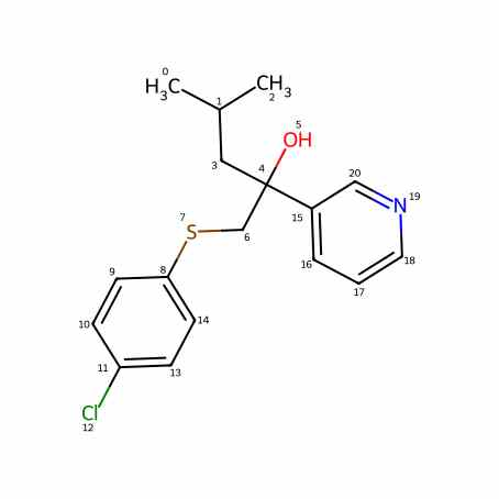 CC(C)CC(O)(CSc1ccc(Cl)cc1)c1cccnc1